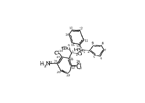 CC(C)(C)C(O[SiH](c1ccccc1)c1ccccc1)c1c(Cl)ccc(N)c1Cl